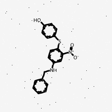 O=[N+]([O-])c1cc(NCc2ccccc2)ccc1Sc1ccc(O)cc1